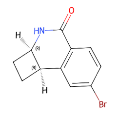 O=C1N[C@@H]2CC[C@@H]2c2cc(Br)ccc21